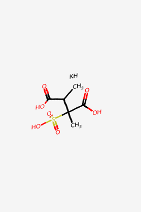 CC(C(=O)O)C(C)(C(=O)O)S(=O)(=O)O.[KH]